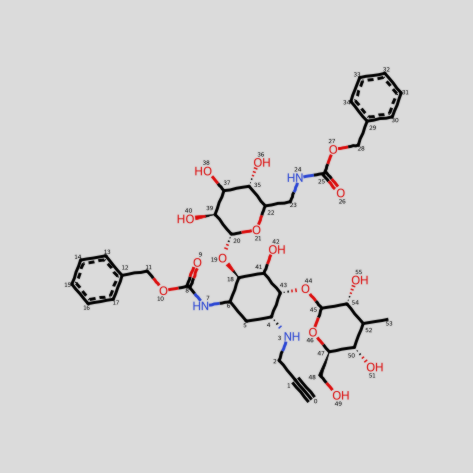 C#CCN[C@@H]1CC(NC(=O)OCc2ccccc2)[C@@H](O[C@H]2OC(CNC(=O)OCc3ccccc3)[C@@H](O)C(O)[C@@H]2O)C(O)[C@@H]1OC1O[C@H](CO)[C@@H](O)C(C)[C@H]1O